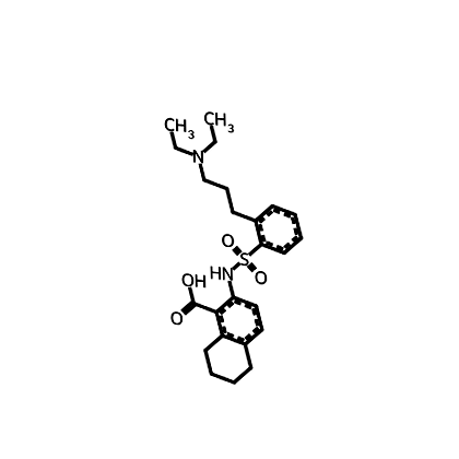 CCN(CC)CCCc1ccccc1S(=O)(=O)Nc1ccc2c(c1C(=O)O)CCCC2